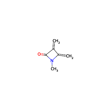 C=C1C(=C)N(C)C1=O